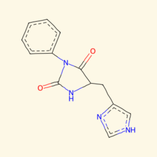 O=C1NC(Cc2c[nH]cn2)C(=O)N1c1ccccc1